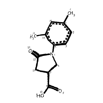 Cc1ccc(N2CC(C(=O)O)CC2=O)c(C)c1